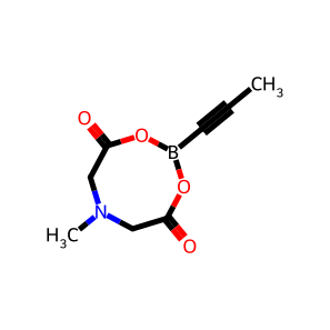 CC#CB1OC(=O)CN(C)CC(=O)O1